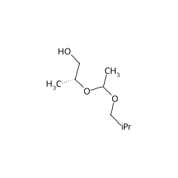 CC(C)COC(C)O[C@H](C)CO